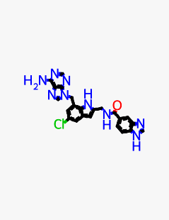 Nc1ncnc2c1ncn2Cc1cc(Cl)cc2cc(CNC(=O)c3ccc4[nH]cnc4c3)[nH]c12